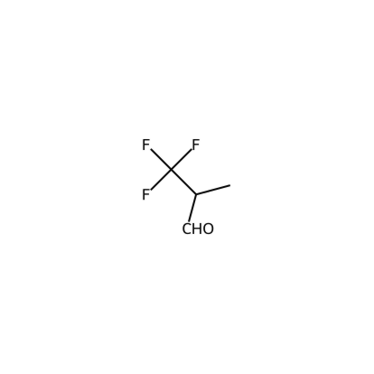 CC(C=O)C(F)(F)F